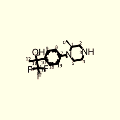 C[C@H]1CNCCN1c1ccc(C(C)(O)C(F)(F)F)cc1